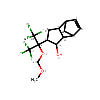 COCOC(C1CC2C3C=CC(C3)C2C1O)(C(F)(F)F)C(F)(F)F